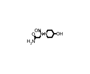 NC(=O)CN(N=O)N1CCC(O)CC1